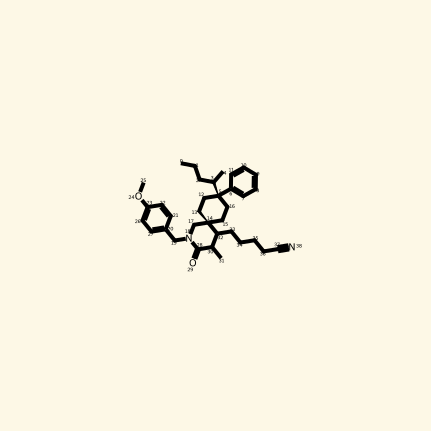 CCCC(C)[C@]1(c2ccccc2)CC[C@]2(CC1)CN(Cc1ccc(OC)cc1)C(=O)C(C)C2CCCCC#N